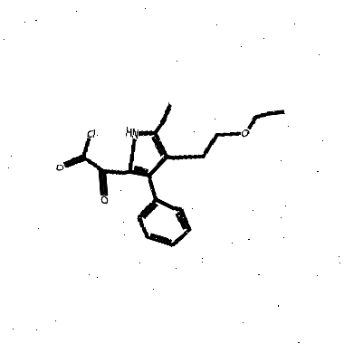 CCOCCc1c(C)[nH]c(C(=O)C(=O)Cl)c1-c1ccccc1